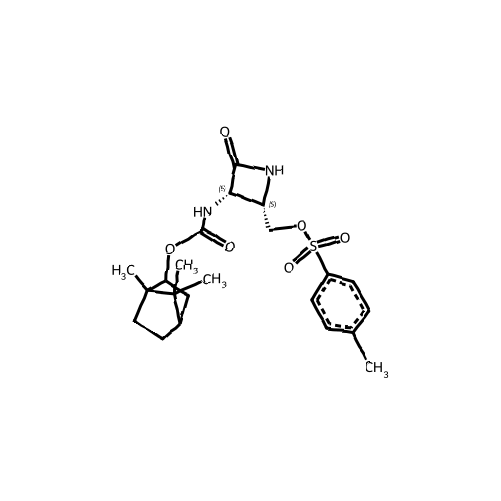 Cc1ccc(S(=O)(=O)OC[C@H]2NC(=O)[C@H]2NC(=O)OC2CC3CCC2(C)C3(C)C)cc1